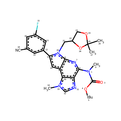 CN(C(=O)OC(C)(C)C)c1nc2c(cc(-c3cc(F)cc(C#N)c3)n2CC2COC(C)(C)O2)c2c1ncn2C